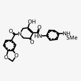 CSNc1ccc(NC(=O)C2=C(O)CN(C(=O)c3ccc4c(c3)OCO4)CC2=O)cc1